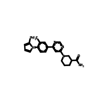 CC(C)C1=CC=C[SH]1c1ccc(-c2cc(N3CCCC(C(N)=O)C3)ncn2)cc1C(F)(F)F